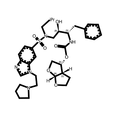 CC(C)CN(C[C@@H](O)[C@H](Cc1ccccc1)NC(=O)O[C@H]1CO[C@H]2OCC[C@H]21)S(=O)(=O)c1ccc2ncn(CCN3CCCC3)c2c1